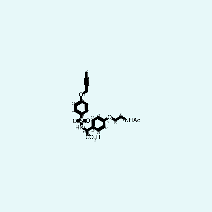 CC#CCOc1ccc(S(=O)(=O)NC(C(=O)O)c2ccc(OCCNC(C)=O)cc2)cc1